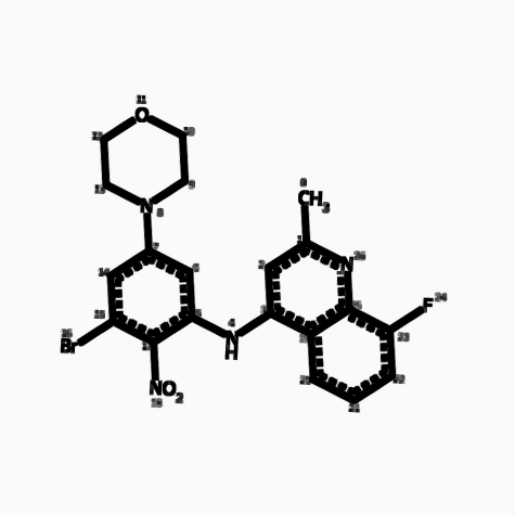 Cc1cc(Nc2cc(N3CCOCC3)cc(Br)c2[N+](=O)[O-])c2cccc(F)c2n1